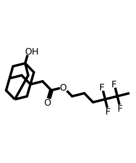 CC(F)(F)C(F)(F)CCCOC(=O)CC12CC3CC(CC(O)(C3)C1)C2